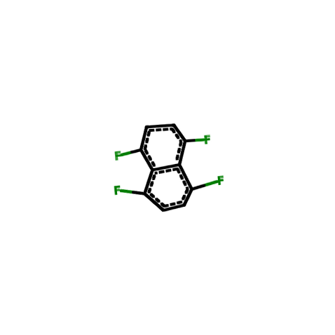 Fc1ccc(F)c2c(F)ccc(F)c12